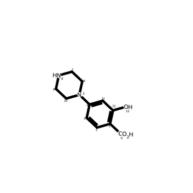 O=C(O)c1ccc(N2CCNCC2)cc1O